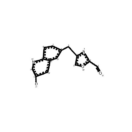 O=Cc1nc(Cc2ccc3ncc(Cl)cc3c2)co1